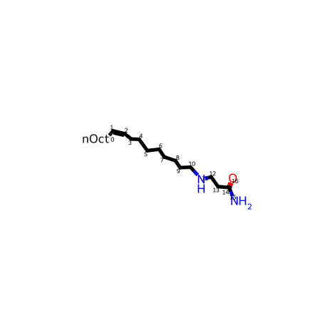 CCCCCCCC/C=C\CCCCCCCCNCCC(N)=O